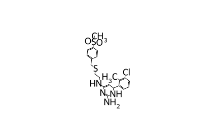 Cc1c(Cl)cccc1C1C=C(NCCSCc2ccc(S(C)(=O)=O)cc2)N=C(N)N1